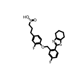 O=S(O)CCCc1ccc(OCc2cc(F)ccc2-c2nc3c(s2)CCCC3)c(F)c1